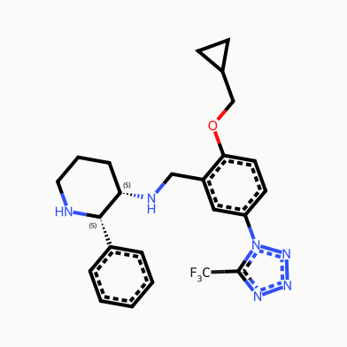 FC(F)(F)c1nnnn1-c1ccc(OCC2CC2)c(CN[C@H]2CCCN[C@H]2c2ccccc2)c1